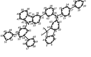 CC1(C)c2ccccc2-c2ccc(N(c3ccc(-c4ccccc4)cc3)c3cccc(-c4ccc5c(c4)c4ccccc4n5-c4cc(-c5ccccc5)cc(-c5ccccc5)c4)c3)cc21